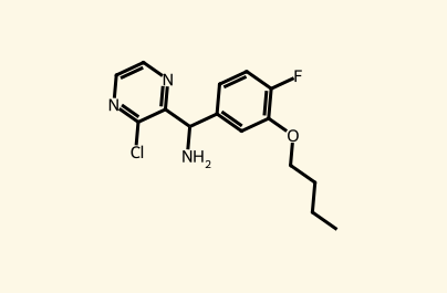 CCCCOc1cc(C(N)c2nccnc2Cl)ccc1F